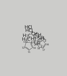 Cl.Cl.[CH3][Hf]([CH3])([CH3])([CH3])(=[SiH2])(=[SiH2])([C]1=CC=CC1)[C]1=CC=CC1